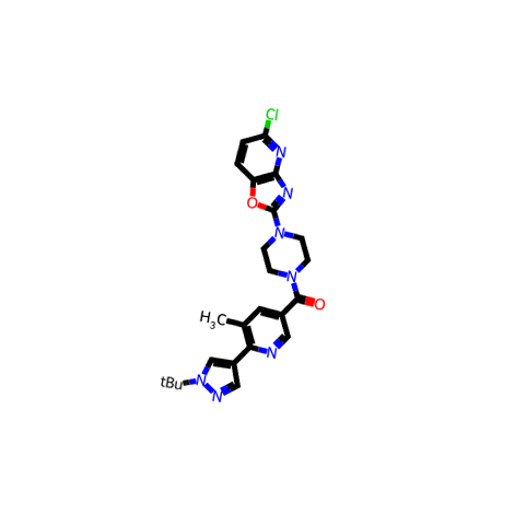 Cc1cc(C(=O)N2CCN(c3nc4nc(Cl)ccc4o3)CC2)cnc1-c1cnn(C(C)(C)C)c1